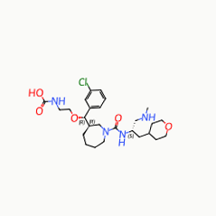 CNC[C@H](CC1CCOCC1)NC(=O)N1CCCC[C@@H]([C@@H](OCCNC(=O)O)c2cccc(Cl)c2)C1